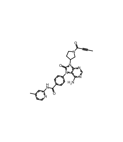 CC#CC(=O)N1CCC(n2c(=O)n(-c3ccc(C(=O)Nc4cc(C)ccn4)cc3)c3c(N)ncnc32)C1